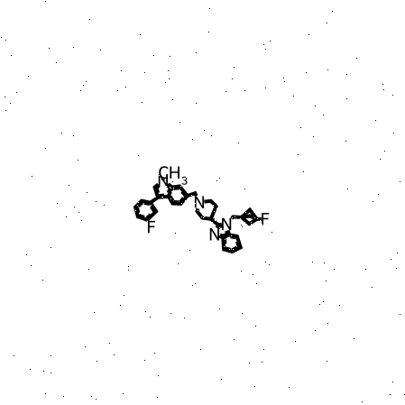 Cn1cc(-c2cccc(F)c2)c2ccc(CN3CCC(c4nc5ccccc5n4CC45CC(F)(C4)C5)CC3)cc21